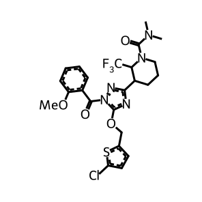 COc1ccccc1C(=O)n1nc(C2CCCN(C(=O)N(C)C)C2C(F)(F)F)nc1OCc1ccc(Cl)s1